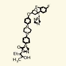 CC[C@@H]([C@H](C)O)n1ncn(-c2ccc(N3CCN(c4ccc(OC5CO[C@@](Cn6cncn6)(c6ccc(F)cc6F)C5)cc4)CC3)cc2)c1=O